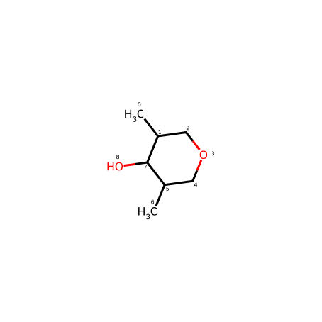 CC1COCC(C)C1O